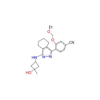 CCOCOc1cc(C#N)ccc1-c1nnc(NC2CC(C)(O)C2)c2c1CCCC2